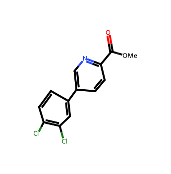 COC(=O)c1ccc(-c2ccc(Cl)c(Cl)c2)cn1